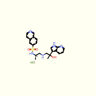 C[C@H](CNCC(C)(O)c1c[nH]c2ncccc12)NS(=O)(=O)c1ccc2cnccc2c1.Cl